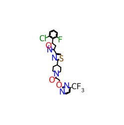 O=C(COc1nccc(C(F)(F)F)n1)N1CCC(c2nc(C3=NOC(c4c(F)cccc4Cl)C3)cs2)CC1